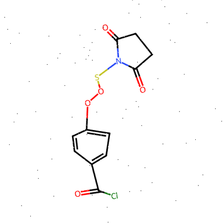 O=C(Cl)c1ccc(OOSN2C(=O)CCC2=O)cc1